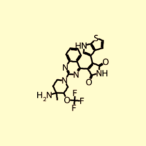 CC1(N)CCN(c2nc(C3=C(c4c[nH]c5sccc45)C(=O)NC3=O)c3ccccc3n2)CC1OC(F)(F)F